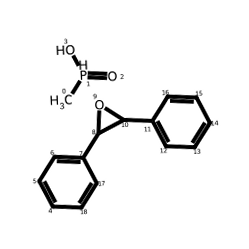 C[PH](=O)O.c1ccc(C2OC2c2ccccc2)cc1